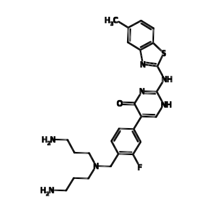 Cc1ccc2sc(Nc3nc(=O)c(-c4ccc(CN(CCCN)CCCN)c(F)c4)c[nH]3)nc2c1